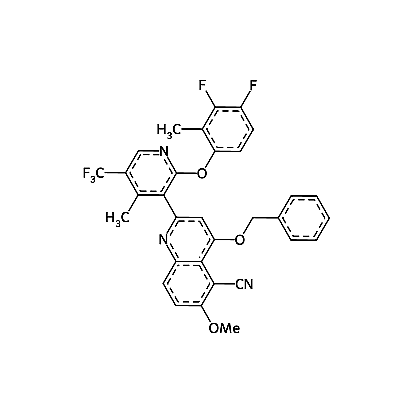 COc1ccc2nc(-c3c(Oc4ccc(F)c(F)c4C)ncc(C(F)(F)F)c3C)cc(OCc3ccccc3)c2c1C#N